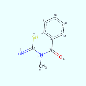 CN(C(=N)S)C(=O)c1ccccc1